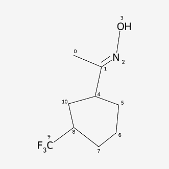 C/C(=N\O)C1CCCC(C(F)(F)F)C1